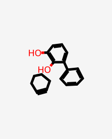 C1#CCCCC1.Oc1cccc(-c2ccccc2)c1O